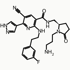 N#Cc1cc(C(=O)NC[C@H]2CCC(=O)N2CCCN)c(NCCc2cccc(F)c2)nc1-c1cn[nH]c1